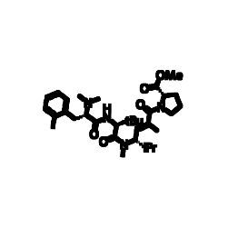 COC(=O)[C@@H]1CCCN1C(=O)/C(C)=C/[C@H](C(C)C)N(C)C(=O)[C@@H](NC(=O)[C@H](Cc1ccccc1C)N(C)C)C(C)(C)C